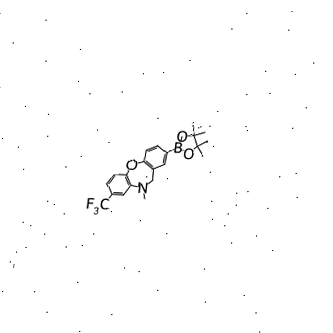 CN1Cc2cc(B3OC(C)(C)C(C)(C)O3)ccc2Oc2ccc(C(F)(F)F)cc21